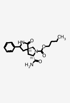 CCCCOC(=O)N1C[C@]2(CC(c3ccccc3)NC2=O)C[C@H]1C(N)=O